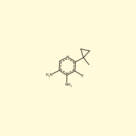 CC1(c2ncc(N)c(N)c2F)CC1